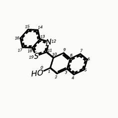 OC1C=c2ccccc2=CC1c1nc2ccccc2s1